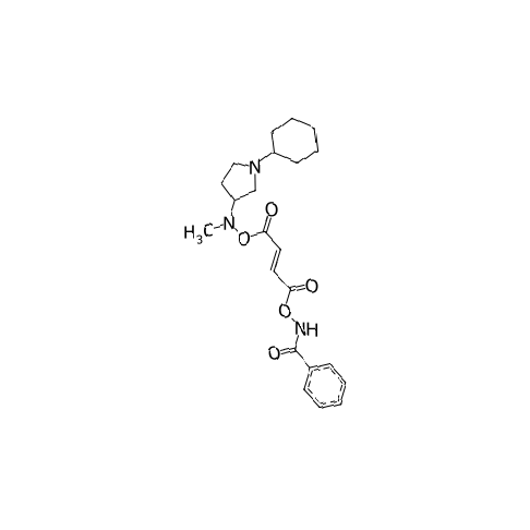 CN(OC(=O)/C=C/C(=O)ONC(=O)c1ccccc1)C1CCN(C2CCCCC2)C1